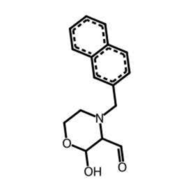 O=CC1C(O)OCCN1Cc1ccc2ccccc2c1